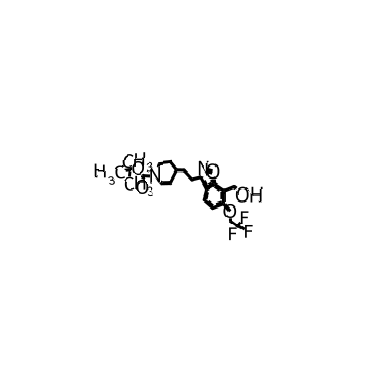 CC(C)(C)OC(=O)N1CCC(CCc2noc3c(CO)c(OCC(F)(F)F)ccc23)CC1